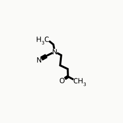 CCN(C#N)CCCC(C)=O